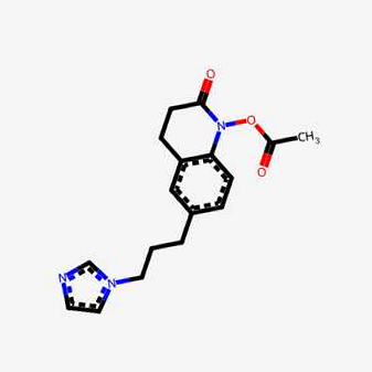 CC(=O)ON1C(=O)CCc2cc(CCCn3ccnc3)ccc21